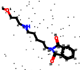 COCCCNCCCCCN1C(=O)c2ccccc2C1=O